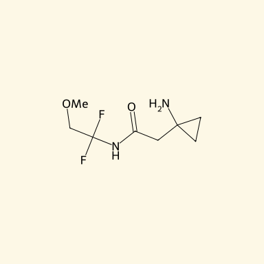 COCC(F)(F)NC(=O)CC1(N)CC1